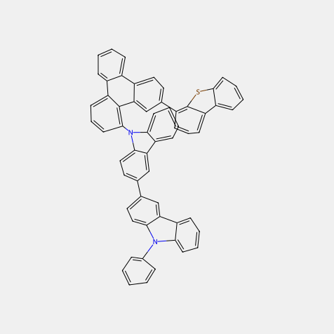 c1ccc(-n2c3ccccc3c3cc(-c4ccc5c(c4)c4ccccc4n5-c4cccc5c6ccccc6c6ccc(-c7cccc8c7sc7ccccc78)cc6c45)ccc32)cc1